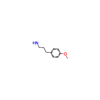 COc1ccc(CCC[NH])cc1